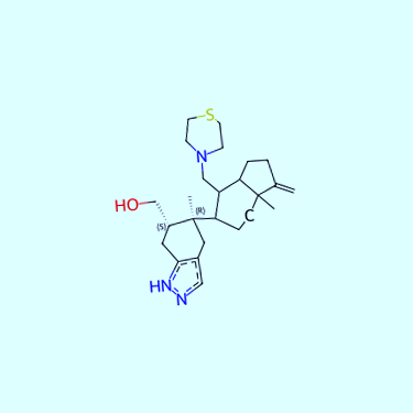 C=C1CCC2C(CN3CCSCC3)C([C@@]3(C)Cc4cn[nH]c4C[C@@H]3CO)CCC12C